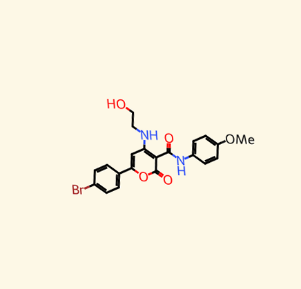 COc1ccc(NC(=O)c2c(NCCO)cc(-c3ccc(Br)cc3)oc2=O)cc1